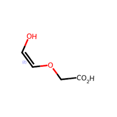 O=C(O)CO/C=C\O